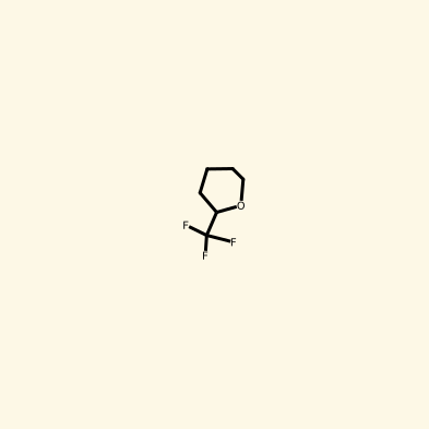 FC(F)(F)C1CCCCO1